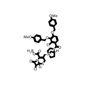 BOC(=O)C1=C(C[N@@+]23CC[C@@H](C2)N(C(=O)c2ccc(OCc4ccc(OC)cc4)c(OCc4ccc(OC)cc4)c2Cl)CC3)CS[C@@H]2C(Cl)C(=O)N12